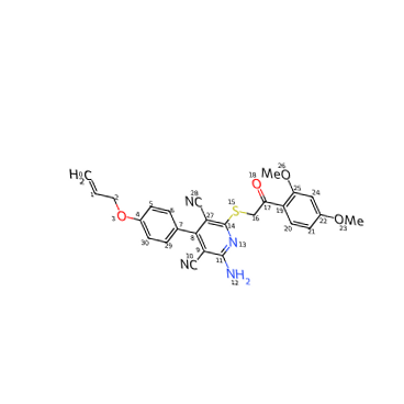 C=CCOc1ccc(-c2c(C#N)c(N)nc(SCC(=O)c3ccc(OC)cc3OC)c2C#N)cc1